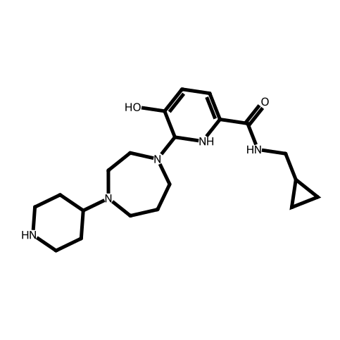 O=C(NCC1CC1)C1=CC=C(O)C(N2CCCN(C3CCNCC3)CC2)N1